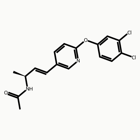 CC(=O)N[C@@H](C)/C=C/c1ccc(Oc2ccc(Cl)c(Cl)c2)nc1